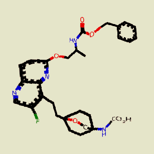 CC(COc1ccc2ncc(F)c(CCC34CCC(NC(=O)O)(CC3)CO4)c2n1)NC(=O)OCc1ccccc1